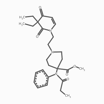 CCC(=O)N(c1ccccc1)C1(C(=O)OC)CCN(CCN2C=CC(=O)C(CC)(CC)C2=O)CC1